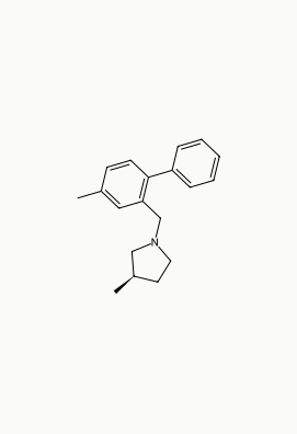 Cc1ccc(-c2ccccc2)c(CN2CC[C@@H](C)C2)c1